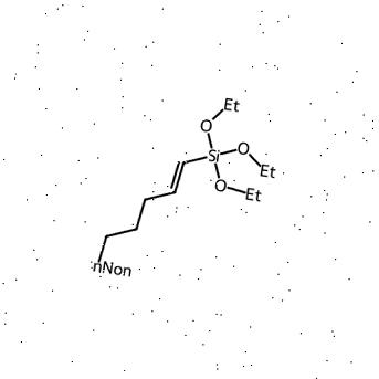 CCCCCCCCCCCCC=C[Si](OCC)(OCC)OCC